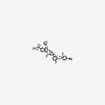 CC1(c2ccc(F)c(COc3ccc(C#N)cc3F)n2)C[C@@H](CF)N(Cc2nc3ccc(C(=O)O)cc3n2C[C@@H]2CCO2)C1